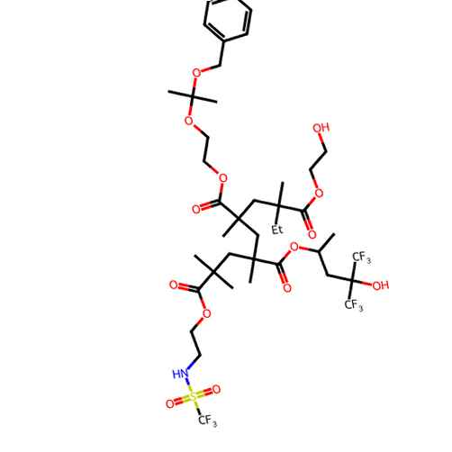 CCC(C)(CC(C)(CC(C)(CC(C)(C)C(=O)OCCNS(=O)(=O)C(F)(F)F)C(=O)OC(C)CC(O)(C(F)(F)F)C(F)(F)F)C(=O)OCCOC(C)(C)OCc1ccccc1)C(=O)OCCO